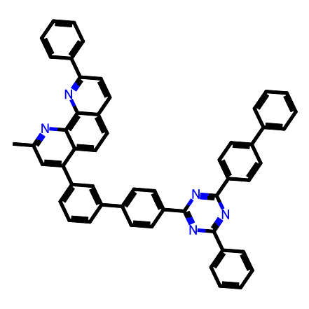 Cc1cc(-c2cccc(-c3ccc(-c4nc(-c5ccccc5)nc(-c5ccc(-c6ccccc6)cc5)n4)cc3)c2)c2ccc3ccc(-c4ccccc4)nc3c2n1